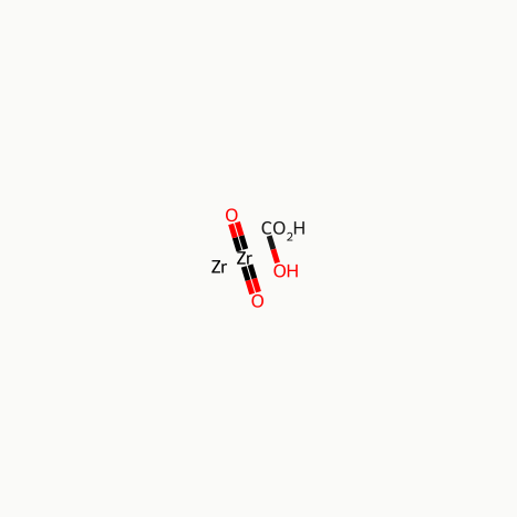 O=C(O)O.[O]=[Zr]=[O].[Zr]